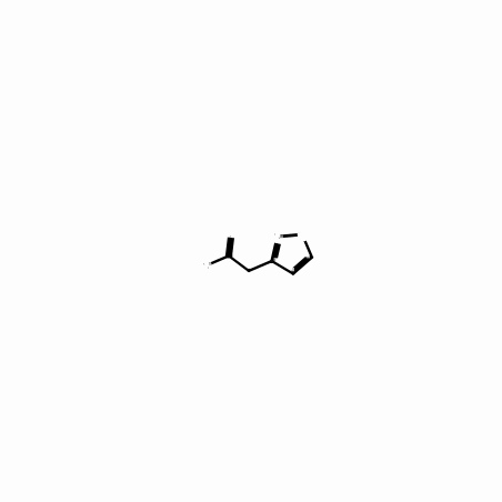 NC(=S)Cc1ccsn1